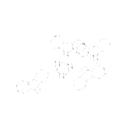 c1ccc2c(c1)oc1cc(-c3nc(-c4cccc5c4oc4c(-n6c7ccccc7c7ccccc76)cccc45)nc(-n4c5ccccc5c5ccccc54)n3)ccc12